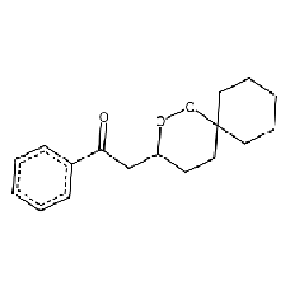 O=C(CC1CCC2(CCCCC2)OO1)c1ccccc1